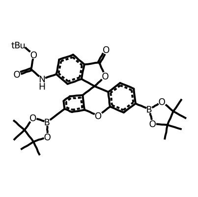 CC(C)(C)OC(=O)Nc1ccc2c(c1)C1(OC2=O)c2ccc(B3OC(C)(C)C(C)(C)O3)cc2Oc2cc(B3OC(C)(C)C(C)(C)O3)ccc21